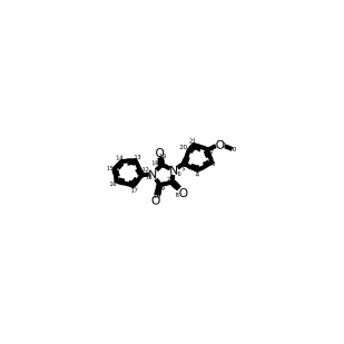 COc1ccc(N2C(=O)C(=O)N(c3ccccc3)C2=O)cc1